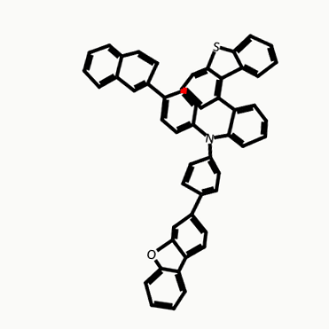 c1ccc(N(c2ccc(-c3ccc4ccccc4c3)cc2)c2ccc(-c3ccc4c(c3)oc3ccccc34)cc2)c(-c2cccc3sc4ccccc4c23)c1